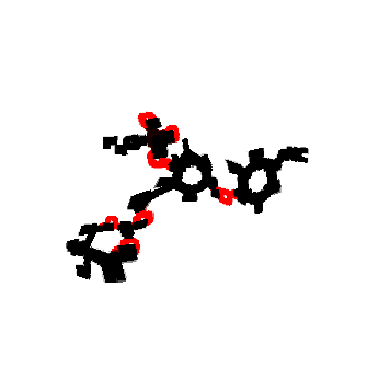 [C-]#[N+]c1ccc(Oc2ccc(OS(=O)(=O)C(F)(F)F)c(COB3OCC(C)(C)CO3)c2)cc1